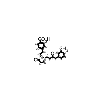 Cc1cccc(CC(=O)CCN2CCC(=O)N2CCc2ccc(C(=O)O)cc2)c1